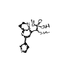 CSC(c1cc(-c2ccsc2)nc2ccnn12)P(=O)(O)O